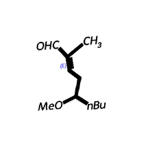 CCCCC(C/C=C(\C)C=O)OC